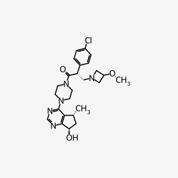 COC1CN(C[C@H](C(=O)N2CCN(c3ncnc4c3[C@H](C)C[C@H]4O)CC2)c2ccc(Cl)cc2)C1